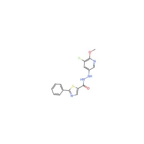 COc1ncc(NNC(=O)c2cnc(-c3ccccc3)s2)cc1F